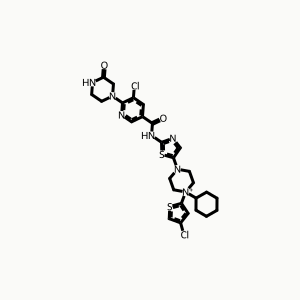 O=C1CN(c2ncc(C(=O)Nc3ncc(N4CC[N+](c5cc(Cl)cs5)(C5CCCCC5)CC4)s3)cc2Cl)CCN1